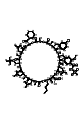 CCCCN1CC(=O)N(C)[C@@H](CC(C)C)C(=O)N(C)[C@@H](CC(C)C)C(=O)N[C@@H](COC(C)(C)C)C(=O)N(C)[C@@H](CC(C)C)C(=O)N[C@H](C(=O)N2CCCCC2)CC(=O)N(C)CC(=O)N(C)[C@@H](Cc2cccc(Cl)c2)C(=O)N[C@@H](Cc2ccc(C(=O)NS(C)(=O)=O)c(OC)c2)C(=O)N(C)[C@@H](CC(C)C)C(=O)N[C@@H]([C@@H](C)O)C1=O